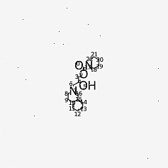 O=C(OCC(O)CN1CCc2ccccc2C1)N1CCCCC1